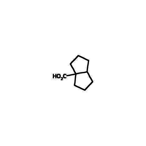 O=C(O)C12CCCC1CCC2